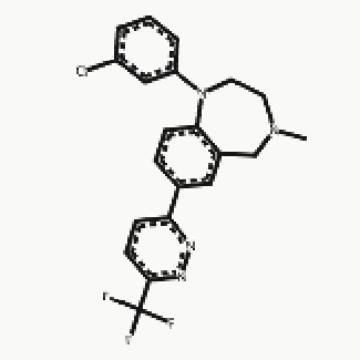 CN1CCN(c2cccc(Cl)c2)c2ccc(-c3ccc(C(F)(F)F)nn3)cc2C1